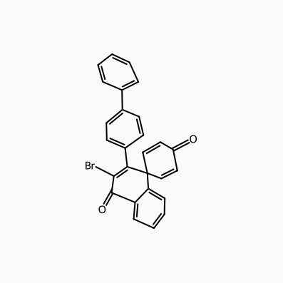 O=C1C=CC2(C=C1)C(c1ccc(-c3ccccc3)cc1)=C(Br)C(=O)c1ccccc12